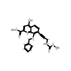 COC(=O)c1cc(O)c2ccc(C#CCNC(=O)OC(C)(C)C)c(OCc3ccccc3)c2n1